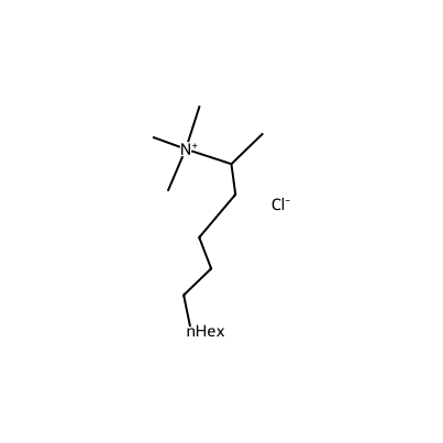 CCCCCCCCCCC(C)[N+](C)(C)C.[Cl-]